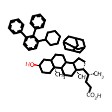 C1C2CC3CC1CC(C2)C3.C[C@H](CCC(=O)O)[C@H]1CCC2C3CCC4C[C@H](O)CC[C@]4(C)C3CC[C@@]21C.c1ccc(-c2cccc(C3CCCCC3)c2-c2ccccc2)cc1